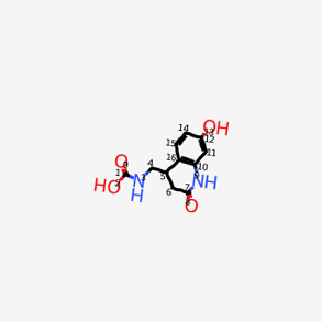 O=C(O)NCC1CC(=O)Nc2cc(O)ccc21